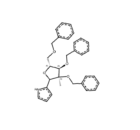 C[C@]1(OCc2ccccc2)C(c2ccc[nH]2)O[C@H](COCc2ccccc2)[C@H]1OCc1ccccc1